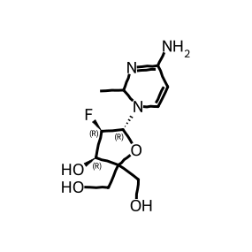 CC1N=C(N)C=CN1[C@@H]1OC(CO)(CO)[C@@H](O)[C@H]1F